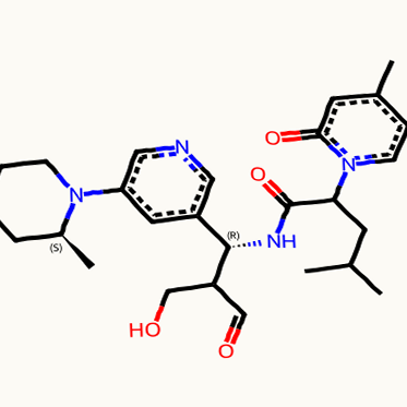 Cc1ccn(C(CC(C)C)C(=O)N[C@@H](c2cncc(N3CCCC[C@@H]3C)c2)C(C=O)CO)c(=O)c1